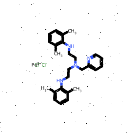 Cc1cccc(C)c1NCCN(CCNc1c(C)cccc1C)Cc1ccccn1.[Cl-].[Cl-].[Pd+2]